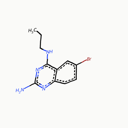 CCCNc1nc(N)nc2ccc(Br)cc12